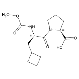 COC(=O)N[C@H](CC1CCC1)C(=O)N1CCC[C@H]1C(=O)O